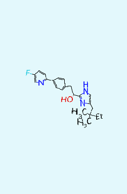 CCC(C)(C)Cc1c[nH]c(C(O)Cc2ccc(-c3ccc(F)cn3)cc2)n1